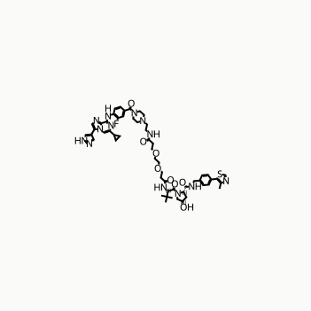 Cc1ncsc1-c1ccc(CNC(=O)[C@@H]2C[C@@H](O)CN2C(=O)[C@@H](NC(=O)CCOCCOCCC(=O)NCCN2CCN(C(=O)c3ccc(Nc4nc(C5CC5)cn5c(-c6cn[nH]c6)cnc45)c(F)c3)CC2)C(C)(C)C)cc1